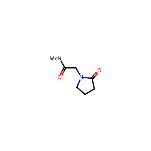 CNC(=O)CN1CCCC1=O